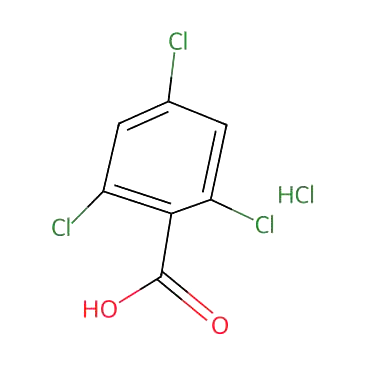 Cl.O=C(O)c1c(Cl)cc(Cl)cc1Cl